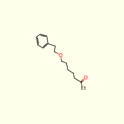 CCC(=O)CCCCCOCCc1ccccc1